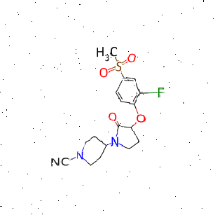 CS(=O)(=O)c1ccc(OC2CCN(C3CCN(C#N)CC3)C2=O)c(F)c1